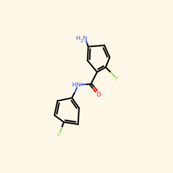 Nc1ccc(F)c(C(=O)Nc2ccc(F)cc2)c1